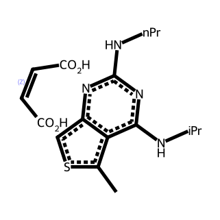 CCCNc1nc(NC(C)C)c2c(C)scc2n1.O=C(O)/C=C\C(=O)O